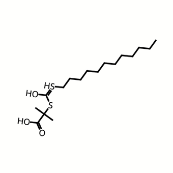 CCCCCCCCCCCC[SH]=C(O)SC(C)(C)C(=O)O